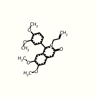 C=CCn1c(-c2ccc(OC)c(OC)c2)c2cc(OC)c(OC)cc2cc1=O